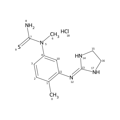 Cc1ccc(N(C)C(N)=S)cc1N=C1NCCN1.Cl